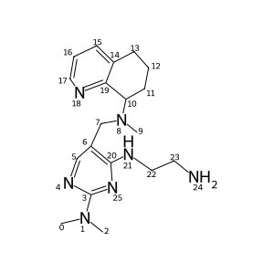 CN(C)c1ncc(CN(C)C2CCCc3cccnc32)c(NCCN)n1